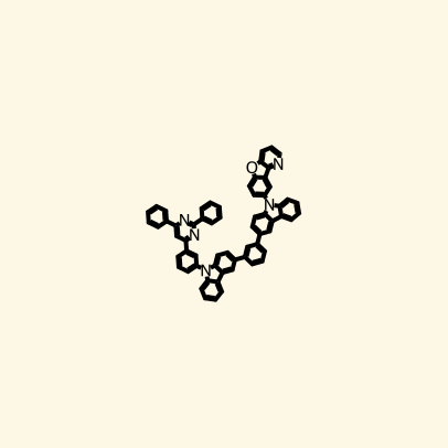 c1ccc(-c2cc(-c3cccc(-n4c5ccccc5c5cc(-c6cccc(-c7ccc8c(c7)c7ccccc7n8-c7ccc8oc9cccnc9c8c7)c6)ccc54)c3)nc(-c3ccccc3)n2)cc1